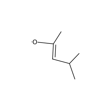 C/C([O])=C\C(C)C